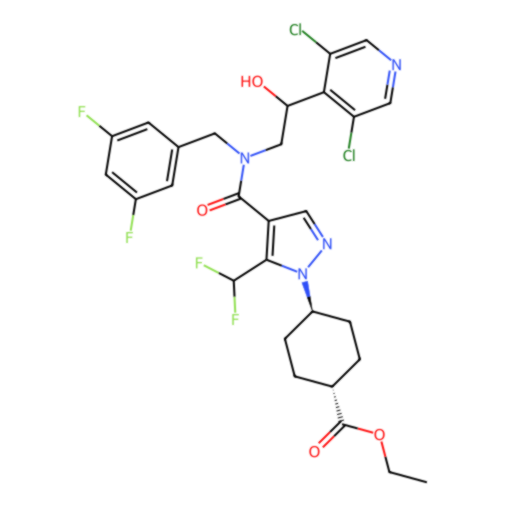 CCOC(=O)[C@H]1CC[C@H](n2ncc(C(=O)N(Cc3cc(F)cc(F)c3)CC(O)c3c(Cl)cncc3Cl)c2C(F)F)CC1